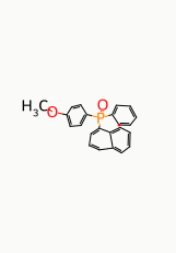 COc1ccc(P(=O)(c2ccccc2)c2cccc3ccccc23)cc1